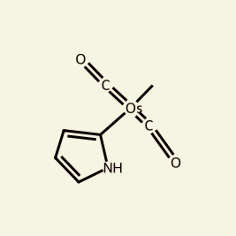 [CH3][Os](=[C]=O)(=[C]=O)[c]1ccc[nH]1